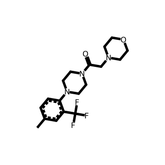 Cc1ccc(N2CCN(C(=O)CN3CCOCC3)CC2)c(C(F)(F)F)c1